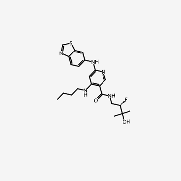 CCCCNc1cc(Nc2ccc3ncsc3c2)ncc1C(=O)NC[C@@H](F)C(C)(C)O